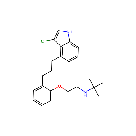 CC(C)(C)NCCOc1ccccc1CCCc1cccc2[nH]cc(Cl)c12